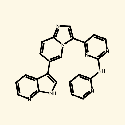 c1ccc(Nc2nccc(-c3cnc4ccc(-c5c[nH]c6ncccc56)cn34)n2)nc1